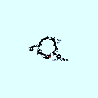 CO[C@@H]1C[C@H](C[C@@H](C)[C@@H]2CC(=O)[C@H](C)/C=C(\C)[C@@H](O)[C@@H](OC)C(=O)[C@H](C)C[C@H](C)/C=C/C=C/C=C(\C)C(OCCc3cnccn3)C[C@@H]3CC[C@@H](C)[C@@](O)(O3)C(=O)C(=O)N3CCCC[C@H]3C(=O)O2)CC[C@H]1OCCO